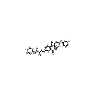 O=C(C=Cc1ccc2c(c1)C(=O)NC1(CCN(Cc3ccccc3)CC1)N2)NOC1CCCCO1